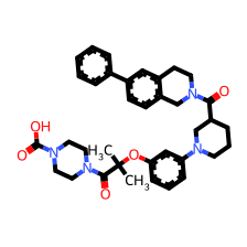 CC(C)(Oc1cccc(N2CCCC(C(=O)N3CCc4cc(-c5ccccc5)ccc4C3)C2)c1)C(=O)N1CCN(C(=O)O)CC1